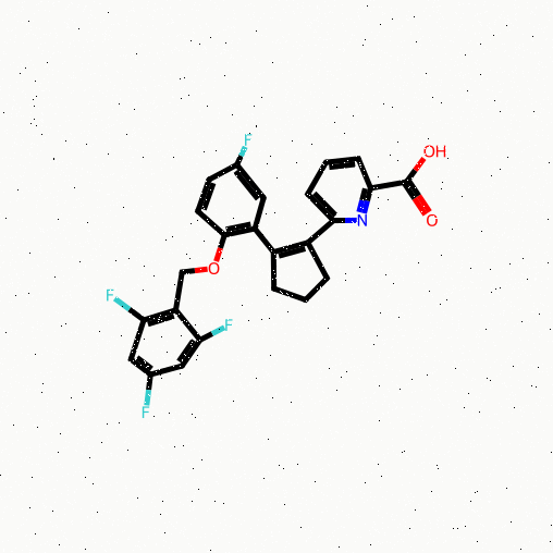 O=C(O)c1cccc(C2=C(c3cc(F)ccc3OCc3c(F)cc(F)cc3F)CCC2)n1